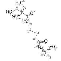 CCC(C)(CC)C(=O)NCCCCC(=O)NC(C)C